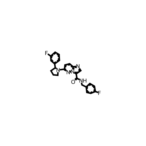 O=C(NCc1ccc(F)cc1)c1cnc2ccc(N3CCCC3c3cccc(F)c3)nn12